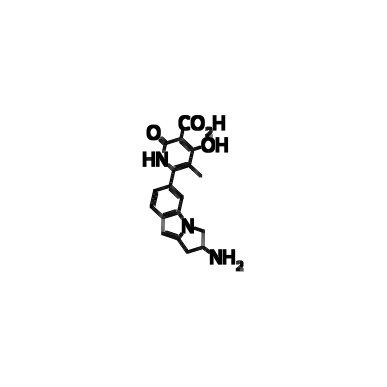 Cc1c(-c2ccc3cc4n(c3c2)CC(N)C4)[nH]c(=O)c(C(=O)O)c1O